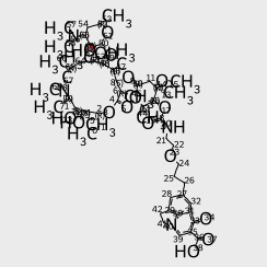 CC[C@H]1OC(=O)[C@H](C)[C@@H](O[C@H]2C[C@@](C)(OC)[C@@H](OC(=O)NCCOCCCc3cc4c5c(c3)c(=O)c(C(=O)O)cn5CC4)[C@H](C)O2)[C@H](C)[C@@H](OC2O[C@H](C)C[C@H](N(C)C)[C@H]2O)[C@](C)(O)C[C@@H](C)CN(C)[C@H](C)[C@@H](O)[C@]1(C)O